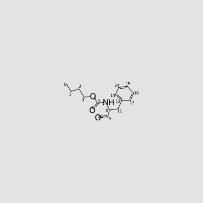 CCCCOC(=O)NC(C=O)Cc1ccccc1